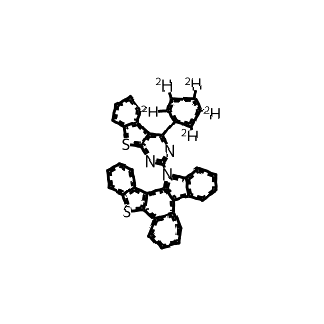 [2H]c1c([2H])c([2H])c(-c2nc(-n3c4ccccc4c4c5ccccc5c5sc6ccccc6c5c43)nc3sc4ccccc4c23)c([2H])c1[2H]